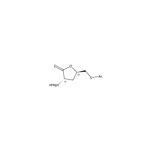 CCCCCCC[C@H]1C[C@H](CSC(C)=O)OC1=O